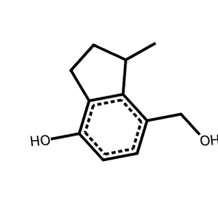 CC1CCc2c(O)ccc(CO)c21